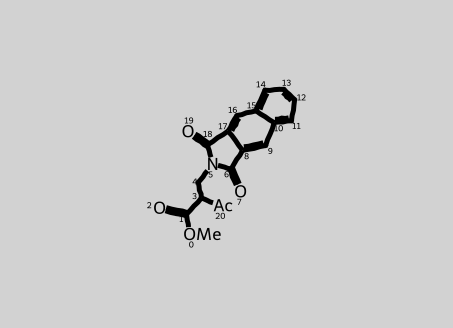 COC(=O)C(CN1C(=O)c2cc3ccccc3cc2C1=O)C(C)=O